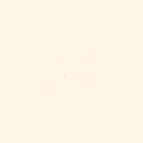 CSc1nc(OCCc2ccc([N+](=O)[O-])cc2)c2nc(C)c(=O)n([C@H]3C[C@H](OC(=O)c4ccc(C)cc4)[C@@H](COC(=O)c4ccc(C)cc4)O3)c2n1